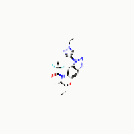 CC[C@@H](Oc1ccc2c(c1)nnn2-c1cnn(CC)c1)[C@H](C)NC(=O)C(C)(F)F